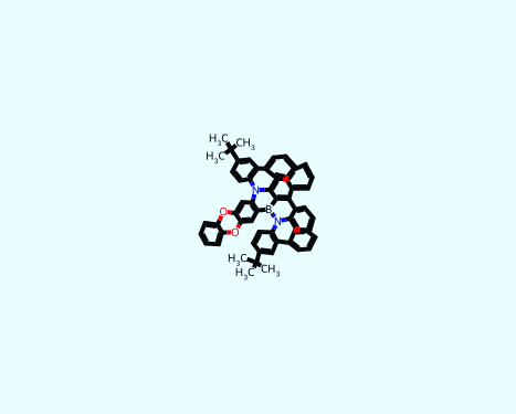 CC(C)(C)c1ccc(N2B3c4cc5c(cc4N(c4ccc(C(C)(C)C)cc4-c4ccccc4)c4cc6ccccc6c(c43)-c3ccccc32)Oc2ccccc2O5)c(-c2ccccc2)c1